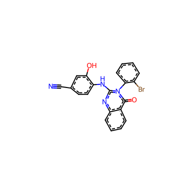 N#Cc1ccc(Nc2nc3ccccc3c(=O)n2-c2ccccc2Br)c(O)c1